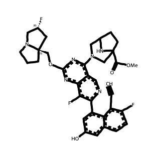 C#Cc1c(F)ccc2cc(O)cc(-c3ncc4c(N5CC6CCC(C(=O)OC)(C5)N6)nc(OC[C@@]56CCCN5C[C@H](F)C6)nc4c3F)c12